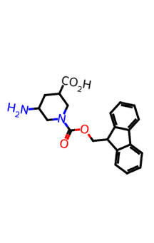 NC1CC(C(=O)O)CN(C(=O)OCC2c3ccccc3-c3ccccc32)C1